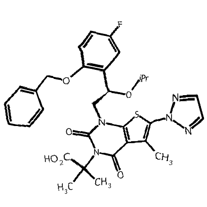 Cc1c(-n2nccn2)sc2c1c(=O)n(C(C)(C)C(=O)O)c(=O)n2C[C@H](OC(C)C)c1cc(F)ccc1OCc1ccccc1